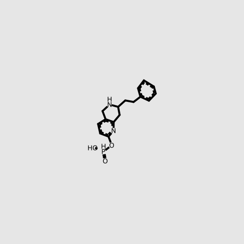 O=[PH](O)Oc1ccc2c(n1)CC(CCc1ccccc1)NC2